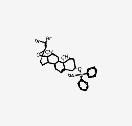 CC(C)(C)[Si](O[C@H]1CC[C@@]2(C)C(=CCC3C2CC[C@@]2(C)C3CC[C@]23OC3C=C(Br)Br)C1)(c1ccccc1)c1ccccc1